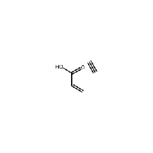 C#C.C=CC(=O)O